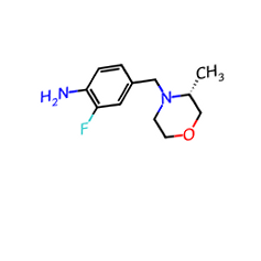 C[C@@H]1COCCN1Cc1ccc(N)c(F)c1